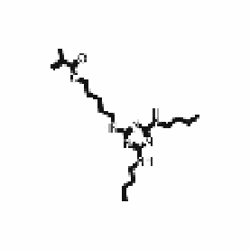 C=C(C)C(=O)OCCCCCNc1nc(NCCCC)nc(NCCCC)n1